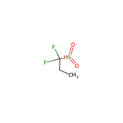 CCC(F)(F)[SH](=O)=O